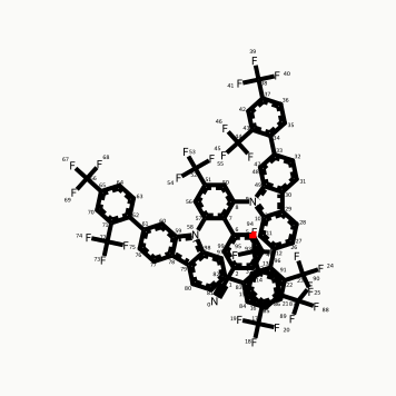 N#Cc1cccc(-c2c(-n3c4cc(-c5ccc(C(F)(F)F)cc5C(F)(F)F)ccc4c4ccc(-c5ccc(C(F)(F)F)cc5C(F)(F)F)cc43)cc(C(F)(F)F)cc2-n2c3cc(-c4ccc(C(F)(F)F)cc4C(F)(F)F)ccc3c3ccc(-c4ccc(C(F)(F)F)cc4C(F)(F)F)cc32)c1